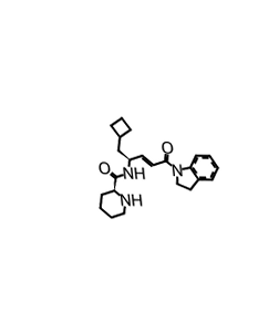 O=C(N[C@H](C=CC(=O)N1CCc2ccccc21)CC1CCC1)[C@@H]1CCCCN1